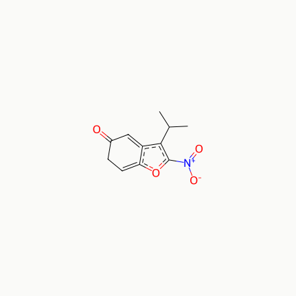 CC(C)c1c([N+](=O)[O-])oc2c1=CC(=O)CC=2